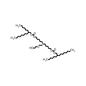 CCCCCCCCC(CCCCCC)COC(=O)OCCCCCN(CCCCCOC(=O)OCC(CCCCCC)CCCCCCCC)CCOCCO